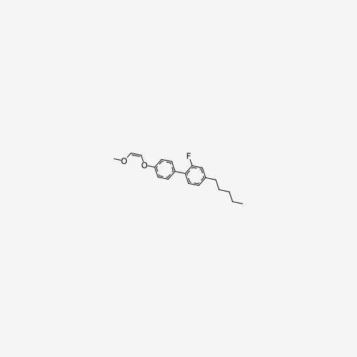 CCCCCc1ccc(-c2ccc(O/C=C\OC)cc2)c(F)c1